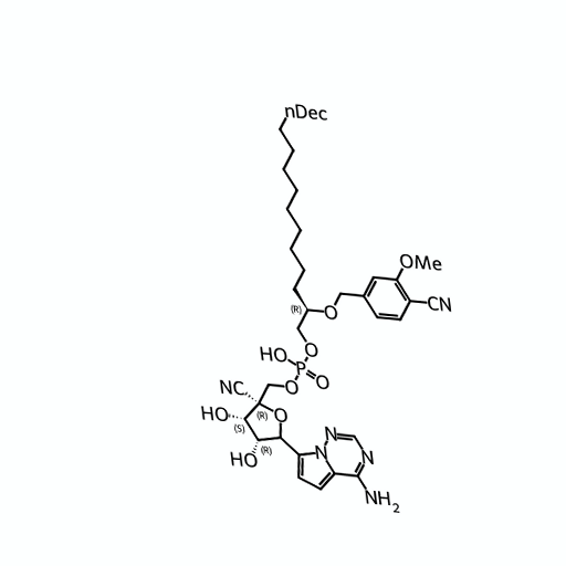 CCCCCCCCCCCCCCCCCCC[C@H](COP(=O)(O)OC[C@@]1(C#N)OC(c2ccc3c(N)ncnn23)[C@H](O)[C@@H]1O)OCc1ccc(C#N)c(OC)c1